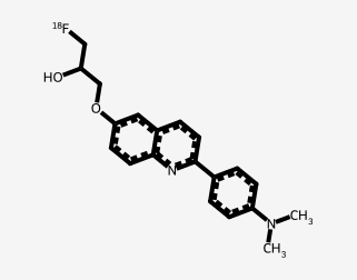 CN(C)c1ccc(-c2ccc3cc(OCC(O)C[18F])ccc3n2)cc1